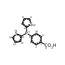 O=C(O)c1ccc(P(c2cccs2)c2cccs2)cc1